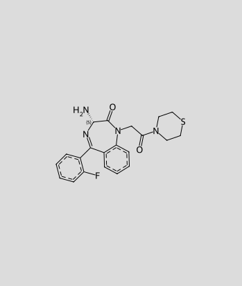 N[C@H]1N=C(c2ccccc2F)c2ccccc2N(CC(=O)N2CCSCC2)C1=O